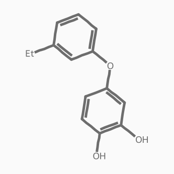 CCc1cccc(Oc2ccc(O)c(O)c2)c1